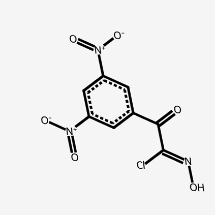 O=C(/C(Cl)=N/O)c1cc([N+](=O)[O-])cc([N+](=O)[O-])c1